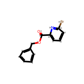 O=C(OCc1ccccc1)c1cccc(Br)n1